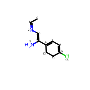 C/C=N\C=C(/N)C1=CC=C(Cl)CC1